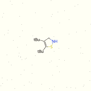 CC(C)(C)C1=C(C(C)(C)C)SNC1